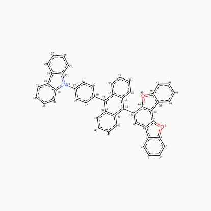 c1ccc2c(c1)oc1c2cc(-c2c3ccccc3c(-c3ccc(-n4c5ccccc5c5ccccc54)cc3)c3ccccc23)c2oc3ccccc3c21